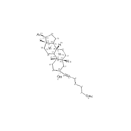 CC(=O)OCCCCC#C[C@@]1(O)CC[C@@]2(C)[C@H](CC[C@@H]3[C@@H]2CC[C@]2(C)[C@@H](C(C)=O)CC[C@@H]32)C1